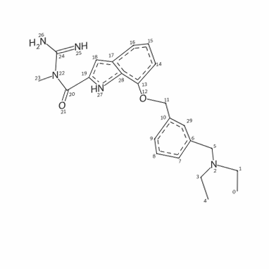 CCN(CC)Cc1cccc(COc2cccc3cc(C(=O)N(C)C(=N)N)[nH]c23)c1